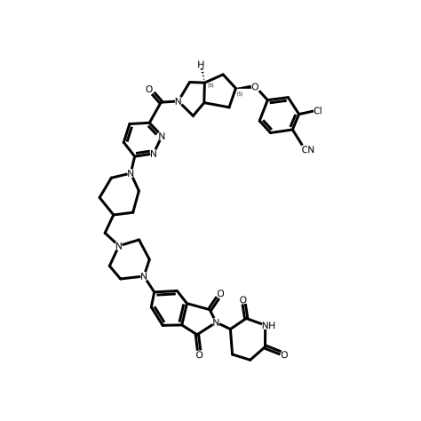 N#Cc1ccc(O[C@H]2CC3CN(C(=O)c4ccc(N5CCC(CN6CCN(c7ccc8c(c7)C(=O)N(C7CCC(=O)NC7=O)C8=O)CC6)CC5)nn4)C[C@H]3C2)cc1Cl